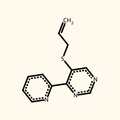 C=CCSc1cn[c]nc1-c1ccccn1